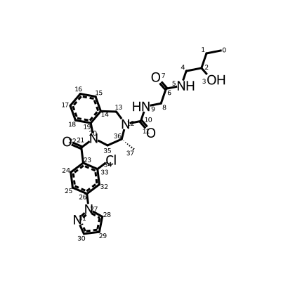 CCC(O)CNC(=O)CNC(=O)N1Cc2ccccc2N(C(=O)c2ccc(-n3cccn3)cc2Cl)C[C@H]1C